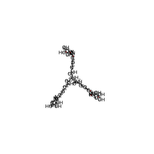 NC(CCC(=O)NCCOCCOCCOCc1cn(C2CC[C@H](CO)[C@H](O)[C@@H]2O)nn1)(CCC(=O)NCCOCCOCCOCc1cn([C@H]2CO[C@H](CO)[C@H](O)[C@@H]2O)nn1)CCC(=O)NCCOCCOCCOCc1cn([C@H]2CO[C@H](CO)[C@H](O)[C@@H]2O)nn1